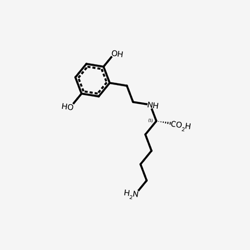 NCCCC[C@H](NCCc1cc(O)ccc1O)C(=O)O